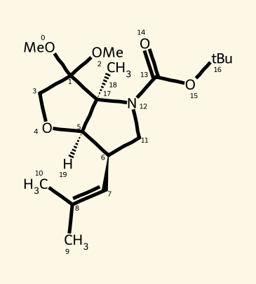 COC1(OC)CO[C@@H]2[C@H](C=C(C)C)CN(C(=O)OC(C)(C)C)[C@@]21C